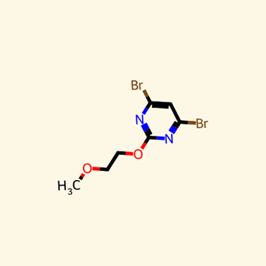 COCCOc1nc(Br)cc(Br)n1